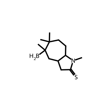 BC1(C)CC2CC(=S)N(C)C2CCC1(C)C